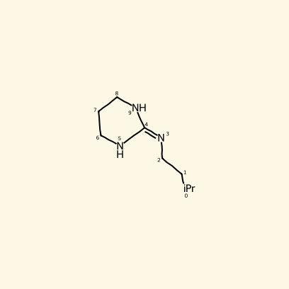 CC(C)CCN=C1NCCCN1